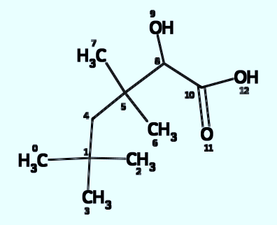 CC(C)(C)CC(C)(C)C(O)C(=O)O